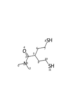 CN(C)C(=O)C(CCS)CCS